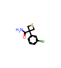 NC(=O)C1(c2cccc(Br)c2)CSC1